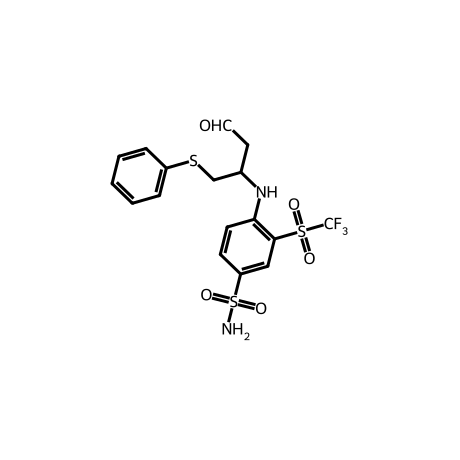 NS(=O)(=O)c1ccc(NC(CC=O)CSc2ccccc2)c(S(=O)(=O)C(F)(F)F)c1